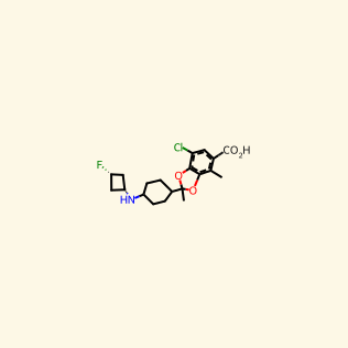 Cc1c(C(=O)O)cc(Cl)c2c1OC(C)(C1CCC(N[C@H]3C[C@@H](F)C3)CC1)O2